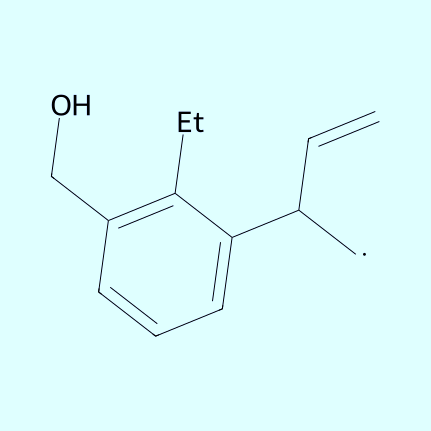 [CH2]C(C=C)c1cccc(CO)c1CC